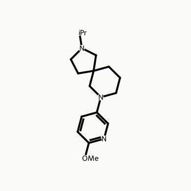 COc1ccc(N2CCCC3(CCN(C(C)C)C3)C2)cn1